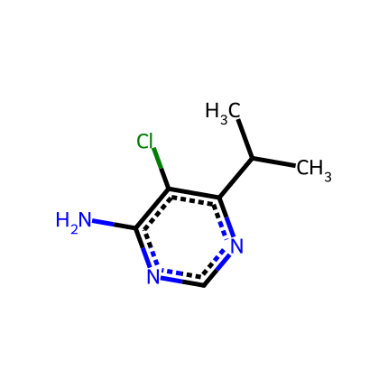 CC(C)c1ncnc(N)c1Cl